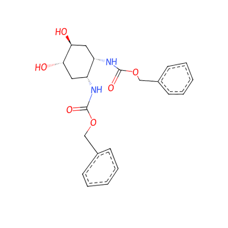 O=C(N[C@H]1C[C@H](O)[C@@H](O)C[C@H]1NC(=O)OCc1ccccc1)OCc1ccccc1